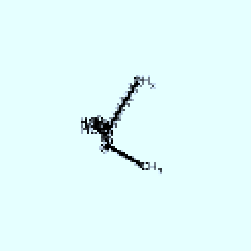 CC#CC#CC#CC#CC(=O)OC[C@@H](COP(=O)(O)O)OC(=O)CCCCCCCCCCCCCC